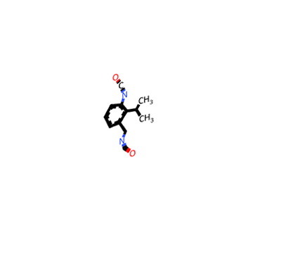 CC(C)c1c(CN=C=O)cccc1N=C=O